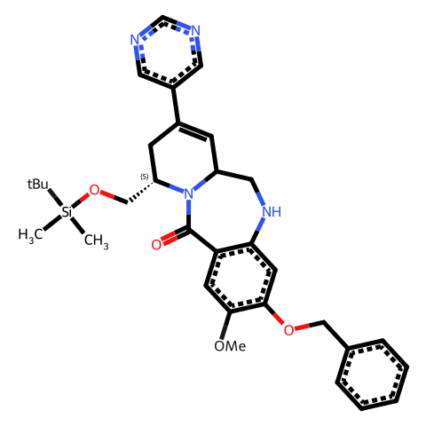 COc1cc2c(cc1OCc1ccccc1)NCC1C=C(c3cncnc3)C[C@@H](CO[Si](C)(C)C(C)(C)C)N1C2=O